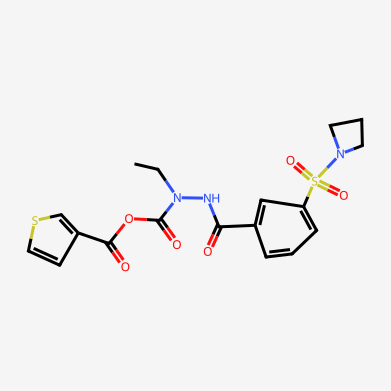 CCN(NC(=O)c1cccc(S(=O)(=O)N2CCC2)c1)C(=O)OC(=O)c1ccsc1